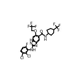 O=C(NC1CCC(C(F)(F)F)CC1)c1cc2nc(Nc3c(F)ccc(Cl)c3Cl)[nH]c2cc1OCC(F)(F)F